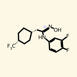 O/N=C(/C[C@H]1CC[C@@H](C(F)(F)F)CC1)Nc1ccc(F)c(F)c1